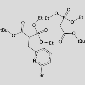 CCOP(=O)(CC(=O)OC(C)(C)C)OCC.CCOP(=O)(OCC)C(Cc1cccc(Br)n1)C(=O)OC(C)(C)C